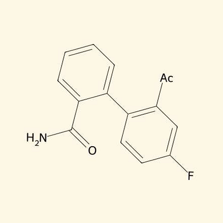 CC(=O)c1cc(F)ccc1-c1ccccc1C(N)=O